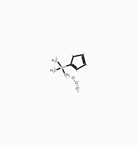 [CH3][Ti+3]([CH3])([CH3])[C]1=CC=CC1.[Cl-].[Cl-].[Cl-]